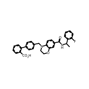 CC(NC(=O)c1ccc2c(c1)OCCN2Cc1ccc(-c2ccccc2C(=O)O)cc1)c1ccccc1F